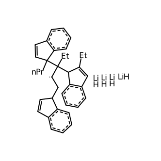 CCCC1(C([CH]CC2C=Cc3ccccc32)(CC)C2C(CC)=Cc3ccccc32)C=Cc2ccccc21.[LiH].[LiH].[LiH].[LiH]